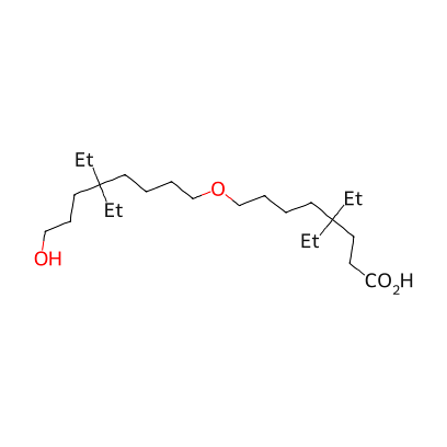 CCC(CC)(CCCO)CCCCOCCCCC(CC)(CC)CCC(=O)O